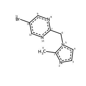 Cc1nccn1Cc1ncc(Br)cn1